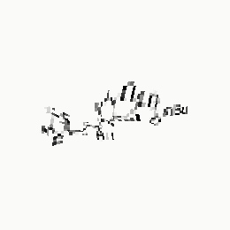 CCCCC(=O)OC1Oc2ccc(C(O)CCc3cccs3)cc2O1